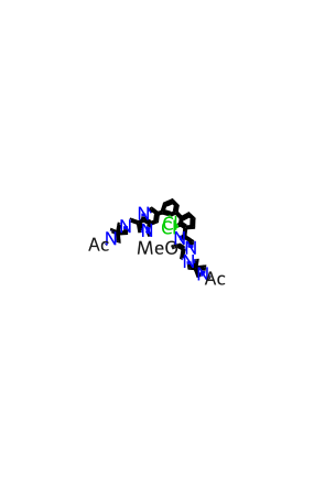 COc1nc(-c2cccc(-c3cccc(-c4cnc5c(CN6CC7(C6)CN(C(C)=O)C7)cn(C)c5c4)c3Cl)c2Cl)cnc1CN1CC2(C1)CN(C(C)=O)C2